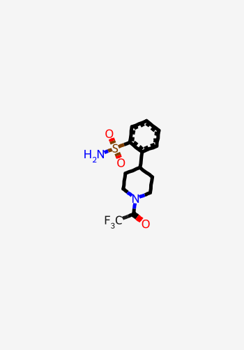 NS(=O)(=O)c1ccccc1C1CCN(C(=O)C(F)(F)F)CC1